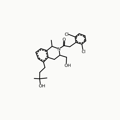 CC1c2cccc(CCC(C)(C)O)c2CC(CO)N1C(=O)Cc1c(Cl)cccc1Cl